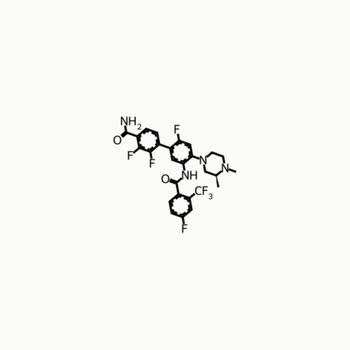 C[C@H]1CN(c2cc(F)c(-c3ccc(C(N)=O)c(F)c3F)cc2NC(=O)c2ccc(F)cc2C(F)(F)F)CCN1C